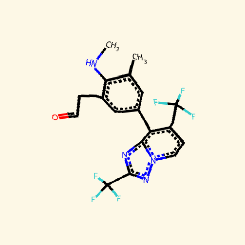 CNc1c(C)cc(-c2c(C(F)(F)F)ccn3nc(C(F)(F)F)nc23)cc1CC=O